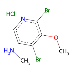 CN.COc1c(Br)ccnc1Br.Cl